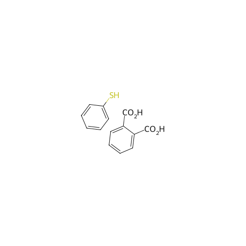 O=C(O)c1ccccc1C(=O)O.Sc1ccccc1